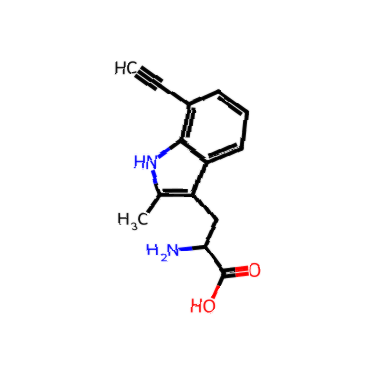 C#Cc1cccc2c(CC(N)C(=O)O)c(C)[nH]c12